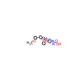 CCOc1cccc(-c2ccc(CN(Cc3cccc(NCC(=O)O)n3)S(=O)(=O)c3ccccc3)cc2)c1